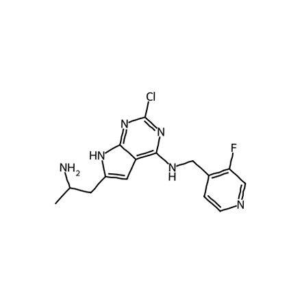 CC(N)Cc1cc2c(NCc3ccncc3F)nc(Cl)nc2[nH]1